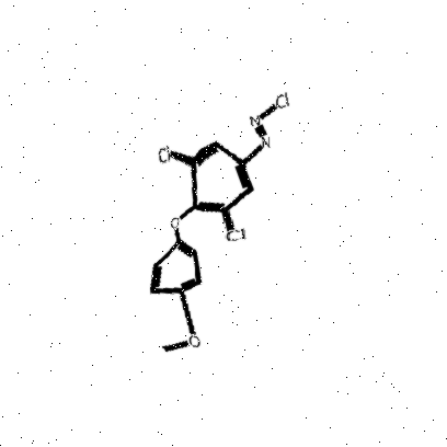 COc1ccc(Oc2c(Cl)cc(/N=N/Cl)cc2Cl)cc1